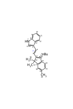 CCCC[N+]1=C(/C=C/c2n[nH]c3ccccc23)C(C)(C)c2cc(C)ccc21